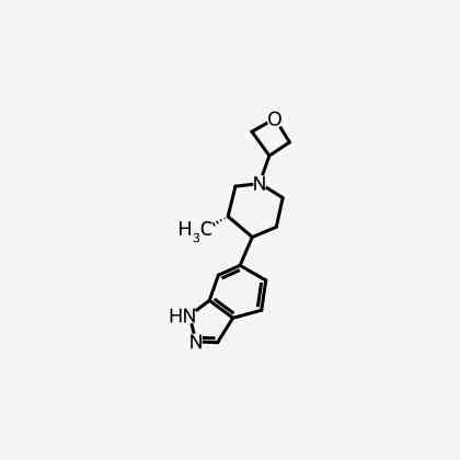 C[C@@H]1CN(C2COC2)CCC1c1ccc2cn[nH]c2c1